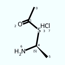 CC(=O)S[C@@H](C)N.Cl